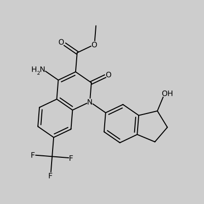 COC(=O)c1c(N)c2ccc(C(F)(F)F)cc2n(-c2ccc3c(c2)C(O)CC3)c1=O